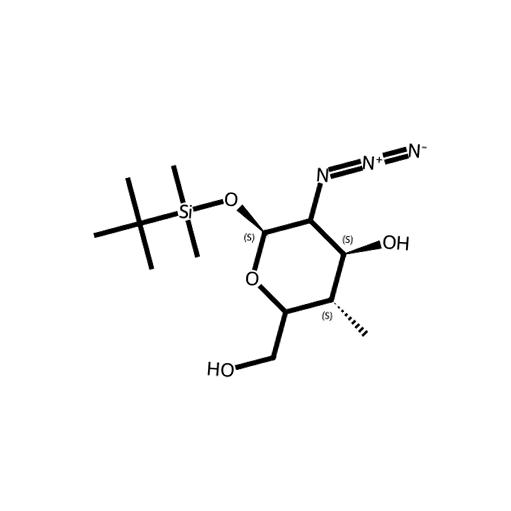 C[C@@H]1C(CO)O[C@@H](O[Si](C)(C)C(C)(C)C)C(N=[N+]=[N-])[C@H]1O